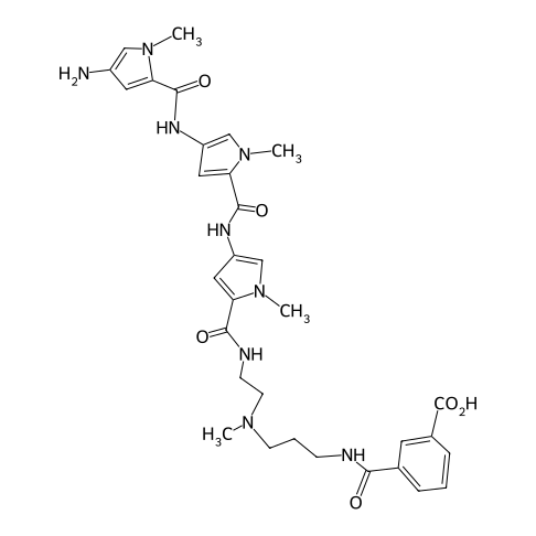 CN(CCCNC(=O)c1cccc(C(=O)O)c1)CCNC(=O)c1cc(NC(=O)c2cc(NC(=O)c3cc(N)cn3C)cn2C)cn1C